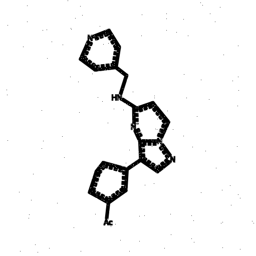 CC(=O)c1cccc(-c2cnn3ccc(NCc4ccncc4)nc23)c1